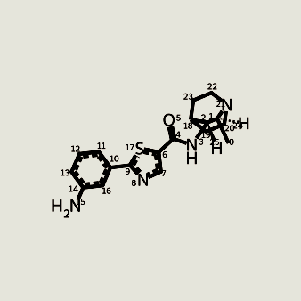 C[C@H]1[C@H](NC(=O)c2cnc(-c3cccc(N)c3)s2)C2CCN1CC2